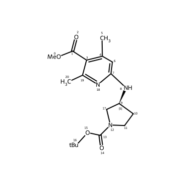 COC(=O)c1c(C)cc(N[C@H]2CCN(C(=O)OC(C)(C)C)C2)nc1C